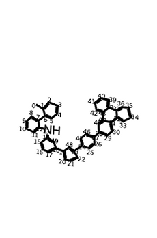 Cc1ccccc1-c1ccccc1Nc1cccc(-c2cccc(-c3ccc(-c4ccc5c6ccccc6c6ccccc6c5c4)cc3)c2)c1